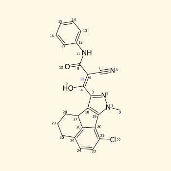 Cn1nc(/C(O)=C(\C#N)C(=O)Nc2ccccc2)c2c1-c1c(Cl)ccc3c1C2CCC3